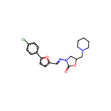 O=C1OC(CN2CCCCC2)CN1/N=C/c1ccc(-c2ccc(Cl)cc2)o1